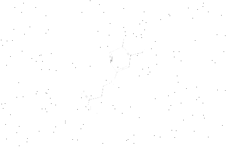 NC(=O)CCOc1ccc(Cl)c(Cl)c1